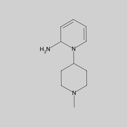 CN1CCC(N2C=CC=CC2N)CC1